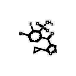 CS(=O)(=O)c1c(C(=O)c2cnoc2C2CC2)ccc(Br)c1F